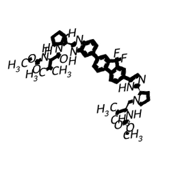 COC(=O)N[C@H](C(=O)N1[C@@H]2CC[C@@H](C2)[C@H]1c1nc2ccc(-c3ccc4c(c3)C(F)(F)c3cc(-c5cnc([C@@H]6CCCN6C[C@@H](NC(=O)OC)C(C)C)[nH]5)ccc3-4)cc2[nH]1)C(C)C